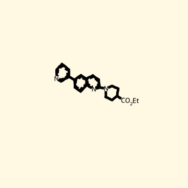 CCOC(=O)C1CCN(c2ccc3cc(-c4cccnc4)ccc3n2)CC1